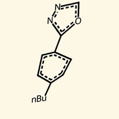 CCCCc1ccc(-c2nnco2)cc1